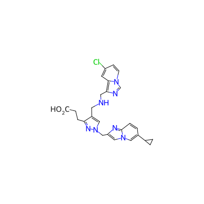 O=C(O)CCc1nn(Cc2cn3cc(C4CC4)ccc3n2)cc1CNCc1ncn2ccc(Cl)cc12